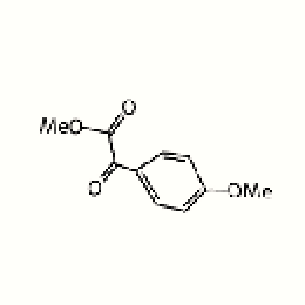 COC(=O)C(=O)c1ccc(OC)cc1